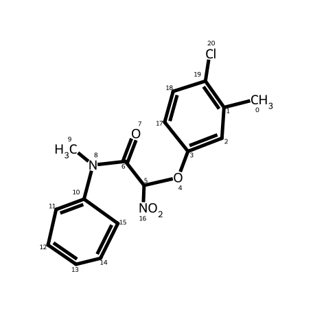 Cc1cc(OC(C(=O)N(C)c2ccccc2)[N+](=O)[O-])ccc1Cl